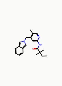 CCC(C)(C)C(=O)Nc1cc(Cn2cc3ccccc3c2)c(C)cn1